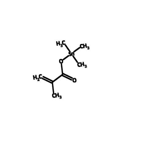 C=C(C)C(=O)[O][Sn]([CH3])([CH3])[CH3]